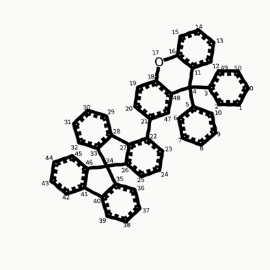 c1ccc(C2(c3ccccc3)c3ccccc3Oc3ccc(-c4cccc5c4-c4ccccc4C54c5ccccc5-c5ccccc54)cc32)cc1